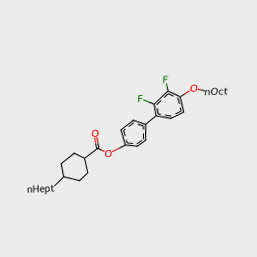 CCCCCCCCOc1ccc(-c2ccc(OC(=O)C3CCC(CCCCCCC)CC3)cc2)c(F)c1F